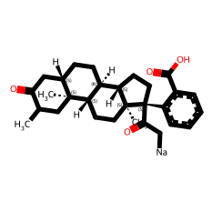 CC1C[C@@]2(C)[C@@H](CC[C@@H]3[C@@H]2CC[C@@]2(C)[C@H]3CC[C@@]2(C(=O)[CH2][Na])c2ccccc2C(=O)O)CC1=O